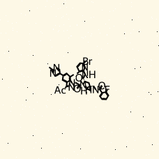 CC(=O)c1nn(CC(=O)N2[C@H](C(=O)Nc3nc(Br)ccc3C)C[C@@]3(CNC(=O)c4ccccc4F)C[C@@H]23)c2c(C)cc(-c3cnc(C)nc3)cc12